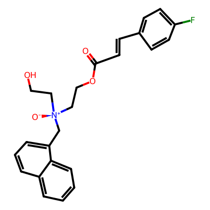 O=C(/C=C/c1ccc(F)cc1)OCC[N@@+]([O-])(CCO)Cc1cccc2ccccc12